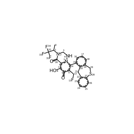 CC(N1CNn2c(c(O)c(=O)c(CF)c2-c2cccc3c2Cc2ccccc2SC3)C1=O)C(F)(F)F